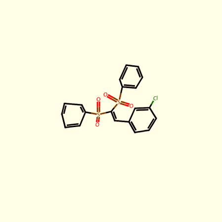 O=S(=O)(C(=Cc1cccc(Cl)c1)S(=O)(=O)c1ccccc1)c1ccccc1